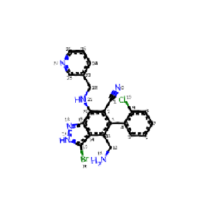 N#Cc1c(-c2ccccc2Cl)c(CN)c2c(Br)[nH]nc2c1NCc1cccnc1